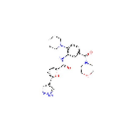 O=C(Nc1cc(C(=O)N2CCOCC2)ccc1N1CCCCC1)c1ccc(-c2cn[nH]c2)o1